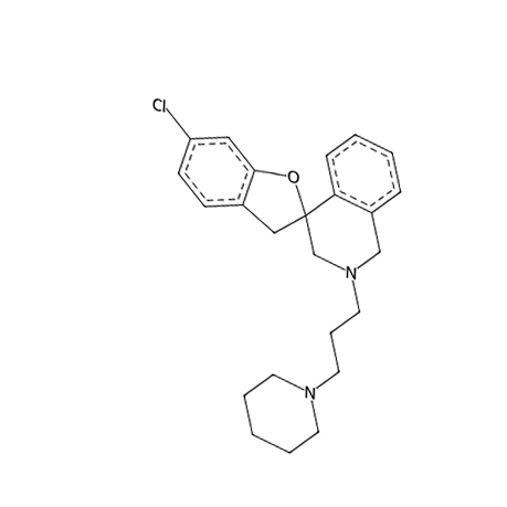 Clc1ccc2c(c1)OC1(C2)CN(CCCN2CCCCC2)Cc2ccccc21